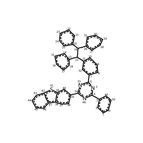 c1ccc(-c2nc(-c3cccc(C(c4ccccc4)C(c4ccccc4)c4ccccc4)c3)nc(-c3ccc4c(c3)sc3ccccc34)n2)cc1